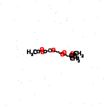 C=CC(=O)OC(C)(C)CCCCCC(=O)OCCCCCCOC1CCC(c2ccc(OC(=O)c3ccc(C)cc3)cc2)CC1